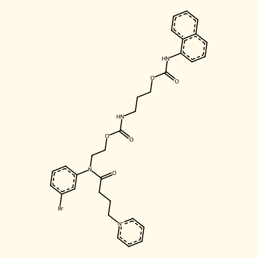 O=C(NCCCOC(=O)Nc1cccc2ccccc12)OCCN(C(=O)CCC[n+]1ccccc1)c1cccc(Br)c1